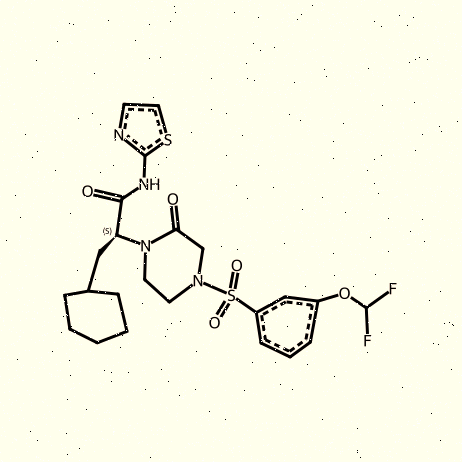 O=C(Nc1nccs1)[C@H](CC1CCCCC1)N1CCN(S(=O)(=O)c2cccc(OC(F)F)c2)CC1=O